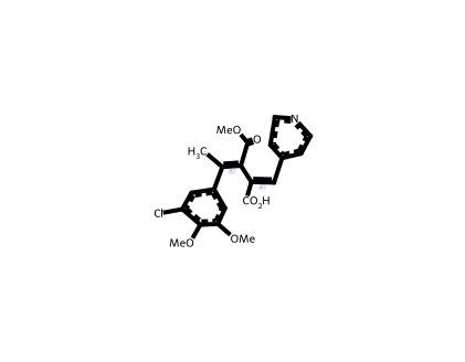 COC(=O)C(/C(=C\c1ccncc1)C(=O)O)=C(\C)c1cc(Cl)c(OC)c(OC)c1